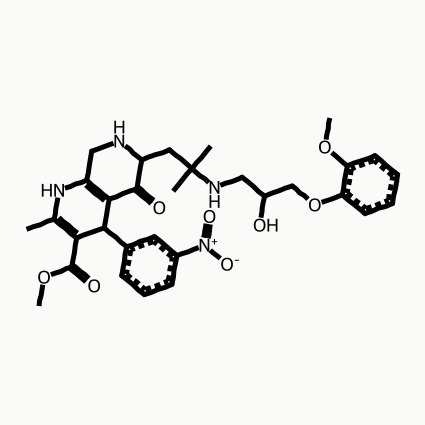 COC(=O)C1=C(C)NC2=C(C(=O)C(CC(C)(C)NCC(O)COc3ccccc3OC)NC2)C1c1cccc([N+](=O)[O-])c1